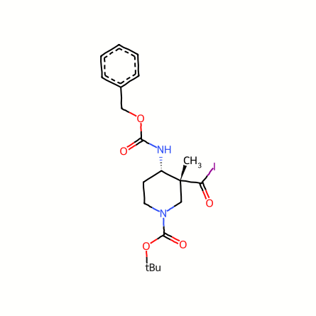 CC(C)(C)OC(=O)N1CC[C@H](NC(=O)OCc2ccccc2)[C@](C)(C(=O)I)C1